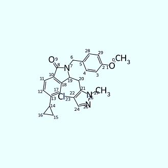 COc1ccc(CN2C(=O)c3ccc(C4CC4)cc3C2Cc2c(Cl)cnn2C)cc1